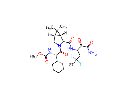 CCC(F)(F)CC(NC(=O)[C@@H]1[C@@H]2[C@H](CN1C(=O)[C@@H](NC(=O)OC(C)(C)C)C1CCCCC1)C2(C)C)C(=O)C(N)=O